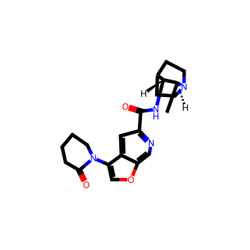 C[C@H]1[C@H](NC(=O)c2cc3c(N4CCCCC4=O)coc3cn2)C2CCN1CC2